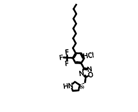 CCCCCCCCCCc1ccc(-c2noc(C[C@@H]3CCNC3)n2)cc1C(F)(F)F.Cl